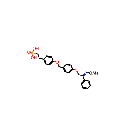 CON=C(COc1ccc(COc2ccc(CCP(=O)(O)O)cc2)cc1)c1ccccc1